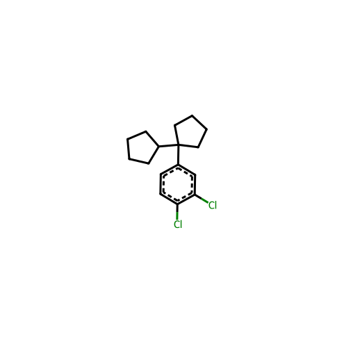 Clc1ccc(C2(C3CCCC3)CCCC2)cc1Cl